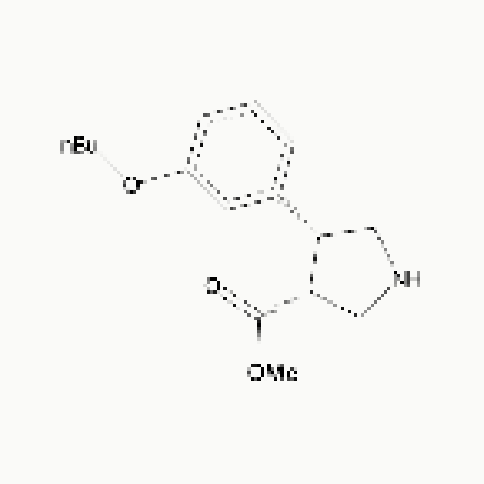 CCCCOc1cccc([C@@H]2CNC[C@@H]2C(=O)OC)c1